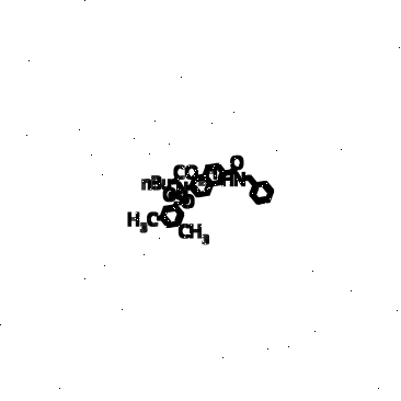 CCCCC(C(=O)O)N(c1ccc2cc(C(=O)NCc3ccccc3)ccc2c1)S(=O)(=O)c1cc(C)cc(C)c1